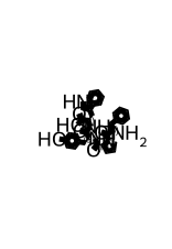 N[C@@H](Cc1ccccc1)C(=O)N1CCC[C@@H]1C(=O)N[C@@H](Cc1ccc(O)cc1)C(=O)N[C@H](Cc1c[nH]c2ccccc12)C(=O)O